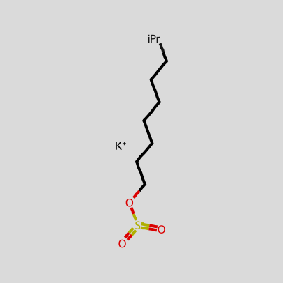 CC(C)CCCCCCCO[S-](=O)=O.[K+]